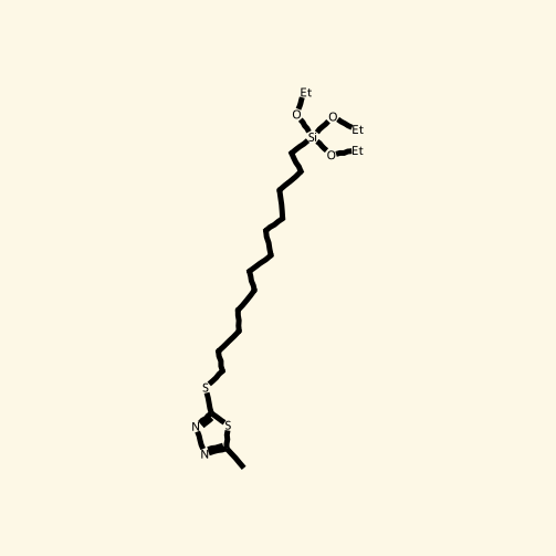 CCO[Si](CCCCCCCCCCCCSc1nnc(C)s1)(OCC)OCC